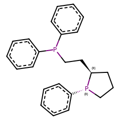 c1ccc(P(CC[C@H]2CCC[P@]2c2ccccc2)c2ccccc2)cc1